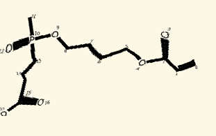 C=CC(=O)OCCCCOP(C)(=O)CCC(=O)O